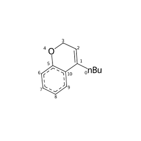 [CH2]CCCC1=CCOc2ccccc21